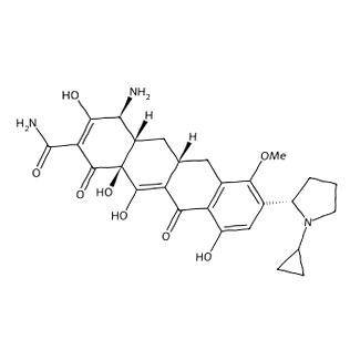 COc1c([C@@H]2CCCN2C2CC2)cc(O)c2c1C[C@H]1C[C@H]3[C@H](N)C(O)=C(C(N)=O)C(=O)[C@@]3(O)C(O)=C1C2=O